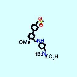 COc1ccc(-c2ccc(CS(C)(=O)=O)cc2)cc1CNC1CCC(CN(C(=O)O)C(C)(C)C)CC1